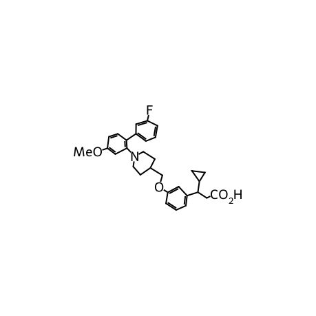 COc1ccc(-c2cccc(F)c2)c(N2CCC(COc3cccc(C(CC(=O)O)C4CC4)c3)CC2)c1